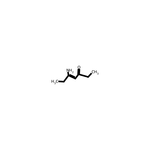 CCC(=O)/C=C(\N)CC